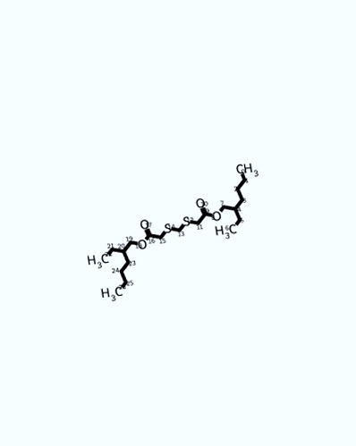 CCCCC(CC)COC(=O)CSCSCC(=O)OCC(CC)CCCC